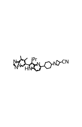 Cc1c(-c2[nH]c3ccc(C4CCC(N5CC(C#N)C5)CC4)nc3c2C(C)C)cn2ncnc2c1C